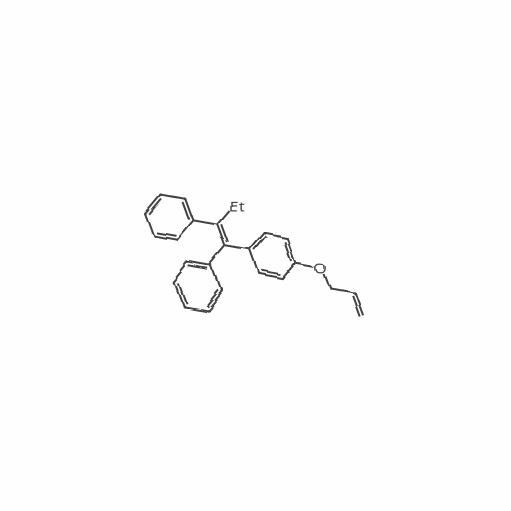 C=CCOc1ccc(/C(=C(\CC)c2ccccc2)c2ccccc2)cc1